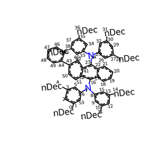 CCCCCCCCCCc1cc(CCCCCCCCCC)cc(N(c2cc(CCCCCCCCCC)cc(CCCCCCCCCC)c2)c2c3ccccc3c(N(c3cc(CCCCCCCCCC)cc(CCCCCCCCCC)c3)c3cc(CCCCCCCCCC)cc(CCCCCCCCCC)c3)c3cc(-c4ccccc4)ccc23)c1